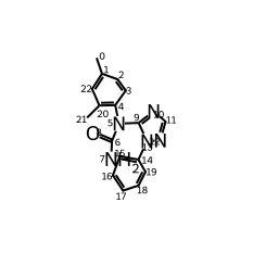 Cc1ccc(N(C(N)=O)c2ncnn2-c2ccccc2)c(C)c1